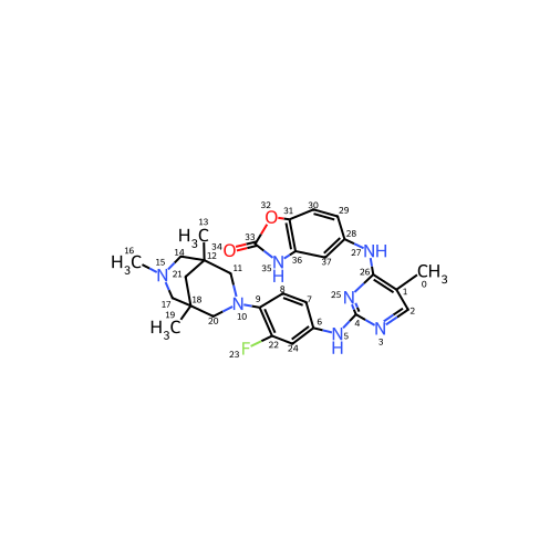 Cc1cnc(Nc2ccc(N3CC4(C)CN(C)CC(C)(C3)C4)c(F)c2)nc1Nc1ccc2oc(=O)[nH]c2c1